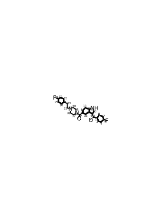 O=C(c1ccc(F)cc1)c1c[nH]c2ccc(C(=O)N3CCN(CCc4ccc(F)cc4)CC3)cc12